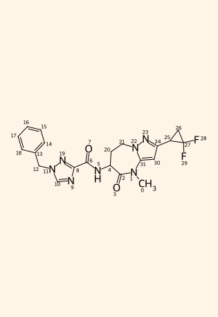 CN1C(=O)C(NC(=O)c2ncn(Cc3ccccc3)n2)CCn2nc(C3CC3(F)F)cc21